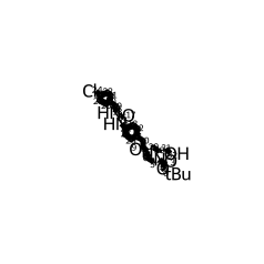 CC(C)(C)OC(=O)N1CCN(C(=O)Cc2ccc(NC(=O)NCc3ccc(Cl)cc3)cc2)C[C@@H]1CO